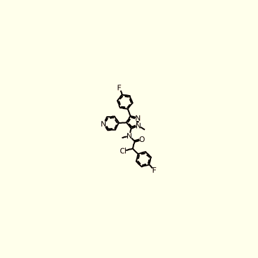 CN(C(=O)C(Cl)c1ccc(F)cc1)c1c(-c2ccncc2)c(-c2ccc(F)cc2)nn1C